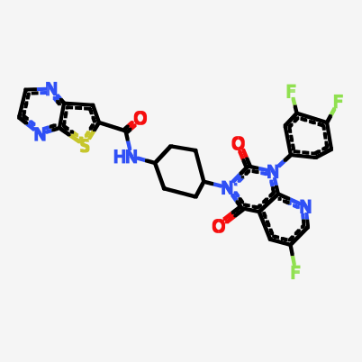 O=C(NC1CCC(n2c(=O)c3cc(F)cnc3n(-c3ccc(F)c(F)c3)c2=O)CC1)c1cc2nccnc2s1